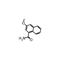 COc1[c]c(C(N)=O)c2ccccc2c1